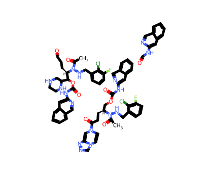 CC(=O)N(NCc1cccc(F)c1Cl)[C@@H](CCC(=O)N1C=CN2CN=NC2=C1)COC(=O)Nc1cc2ccccc2cn1.CC(=O)N(NCc1cccc(F)c1Cl)[C@H](CCC=O)C(OC(=O)Nc1cc2ccccc2cn1)C1CNCCN1.O=CNc1cc2ccccc2cn1